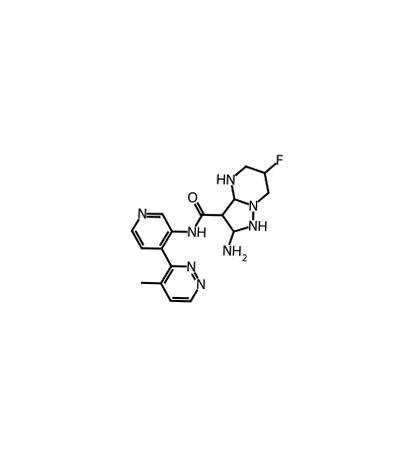 Cc1ccnnc1-c1ccncc1NC(=O)C1C(N)NN2CC(F)CNC12